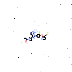 C=CC(=O)N1CCC(c2nc(-c3ccc(Oc4ncccc4CC=S)c(F)c3)n3c(N)nccc23)C1